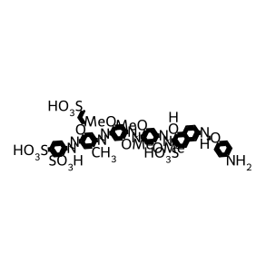 COc1cc(N=Nc2cc(OC)c(N=Nc3c(S(=O)(=O)O)cc4cc(NCOc5ccc(N)cc5)ccc4c3O)cc2OC)c(OC)cc1N=Nc1cc(OCCCS(=O)(=O)O)c(N=Nc2ccc(S(=O)(=O)O)cc2S(=O)(=O)O)cc1C